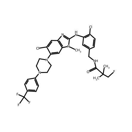 Cn1c(Nc2cc(CNC(=O)C(C)(C)CF)ccc2Cl)nc2cc(Cl)c(N3CCN(c4ccc(C(F)(F)F)cc4)CC3)cc21